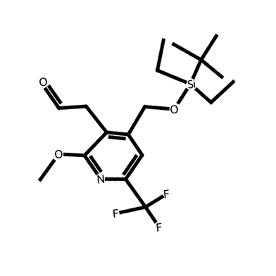 CC[Si](CC)(OCc1cc(C(F)(F)F)nc(OC)c1CC=O)C(C)(C)C